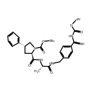 CCCOC(=O)NC(=N)c1ccc(CNC(=O)[C@H](C)NC(=O)[C@H]2C[C@H](c3ccccc3)CN2C(=O)OC(C)(C)C)cc1